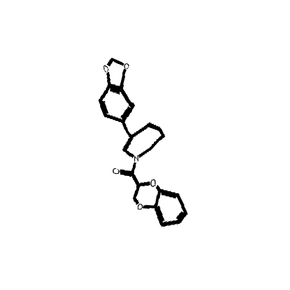 O=C(C1COc2ccccc2O1)N1CCCC(c2ccc3c(c2)OCO3)C1